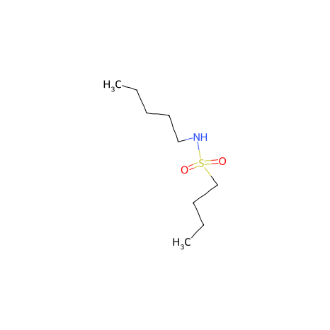 CCCCCNS(=O)(=O)CCCC